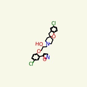 O[C@H](COc1ccc(Cl)cc1-c1ccno1)CN1CCC2(CC1)Cc1cc(Cl)ccc1O2